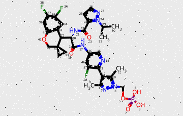 Cc1nn(COP(=O)(O)O)c(C)c1-c1ncc(NC(=O)[C@@H](NC(=O)c2ccnn2C(C)C)C2c3cc(F)c(F)cc3OCC23CC3)cc1F